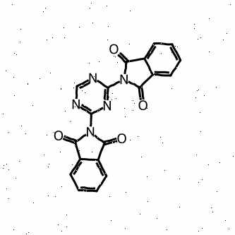 O=C1c2ccccc2C(=O)N1c1ncnc(N2C(=O)c3ccccc3C2=O)n1